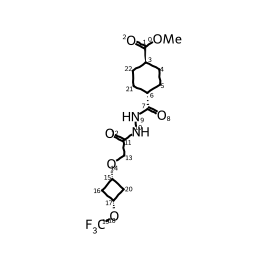 COC(=O)[C@H]1CC[C@H](C(=O)NNC(=O)CO[C@H]2C[C@@H](OC(F)(F)F)C2)CC1